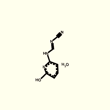 N#CN=CNc1cccc(O)n1.O